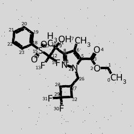 CCOC(=O)c1c(C)c(C(C)(O)C(F)(F)S(=O)(=O)c2ccccc2)nn1CC1CC(F)(F)C1